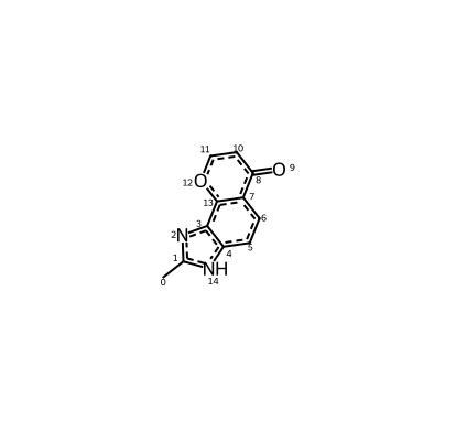 Cc1nc2c(ccc3c(=O)ccoc32)[nH]1